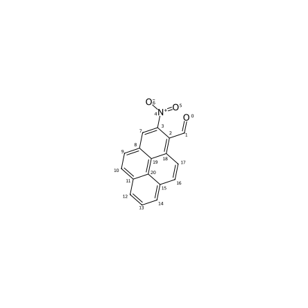 O=Cc1c([N+](=O)[O-])cc2ccc3cccc4ccc1c2c34